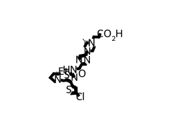 CC[C@@H]1CCCN1Cc1sc(NC(=O)c2cnc(N3CCN(CCC(=O)O)[C@@H](C)C3)cn2)nc1-c1cc(Cl)cs1